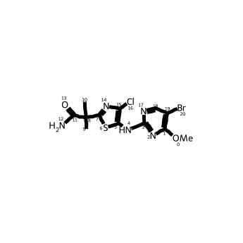 COc1nc(Nc2sc(C(C)(C)C(N)=O)nc2Cl)ncc1Br